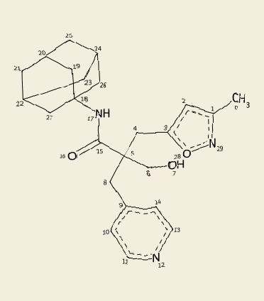 Cc1cc(CC(CO)(Cc2ccncc2)C(=O)NC23CC4CC(CC(C4)C2)C3)on1